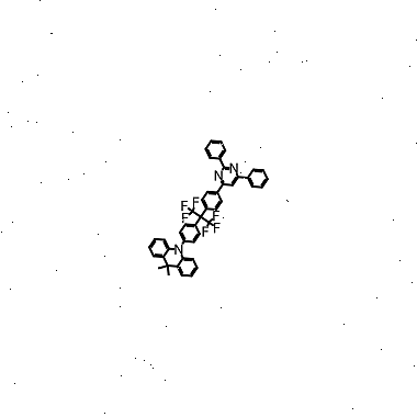 CC1(C)c2ccccc2N(c2ccc(C(c3ccc(-c4cc(-c5ccccc5)nc(-c5ccccc5)n4)cc3)(C(F)(F)F)C(F)(F)F)cc2)c2ccccc21